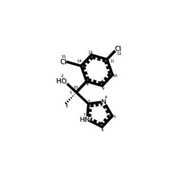 C[C@@](O)(c1ncc[nH]1)c1ccc(Cl)cc1Cl